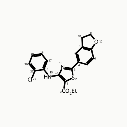 CCOC(=O)c1sc(-c2ccc3c(c2)CCO3)nc1Nc1ccccc1Cl